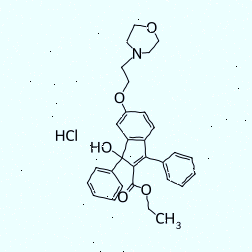 CCOC(=O)C1=C(c2ccccc2)c2ccc(OCCN3CCOCC3)cc2C1(O)c1ccccc1.Cl